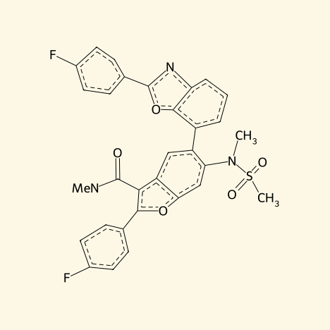 CNC(=O)c1c(-c2ccc(F)cc2)oc2cc(N(C)S(C)(=O)=O)c(-c3cccc4nc(-c5ccc(F)cc5)oc34)cc12